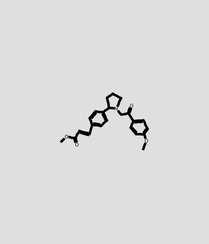 COC(=O)C=Cc1ccc(C2CCCN2CC(=O)c2ccc(OC)cc2)cc1